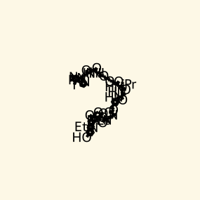 CCc1c2c(nc3ccc(O)cc13)-c1cc3c(c(=O)n1C2)COC(=O)[C@@]3(CC)OC(=O)N(C)CCN(C)C(=O)OCc1ccc(NC(=O)[C@H](C)NC(=O)[C@@H](NC(=O)CCOCCOCCNC(=O)[C@H](C)NC(=O)CCn2c3c(c4cccnc42)C(I)N(C)N(C)C3)C(C)C)cc1